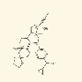 CC#C[C@]1(O)CCC2C3CC[C@@]4(O)CC5(CCC4=C3[C@@H](c3ccc(C(O)C4CC4)cc3)C[C@@]21C)OCCO5